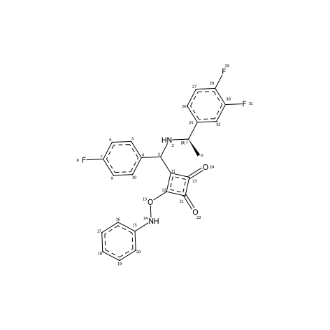 C[C@@H](NC(c1ccc(F)cc1)c1c(ONc2ccccc2)c(=O)c1=O)c1ccc(F)c(F)c1